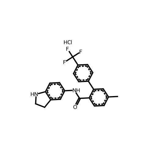 Cc1ccc(C(=O)Nc2ccc3c(c2)CCN3)c(-c2ccc(C(F)(F)F)cc2)c1.Cl